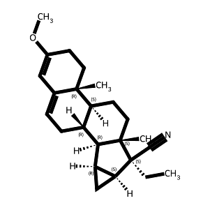 CC[C@]1(C#N)[C@H]2C[C@H]2[C@H]2[C@@H]3CC=C4C=C(OC)CC[C@]4(C)[C@H]3CC[C@@]21C